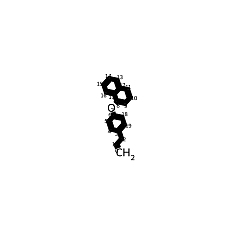 C=CCc1ccc(Oc2cccc3ccccc23)cc1